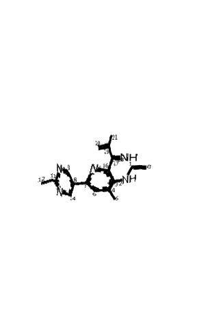 C=CNc1c(C)cc(-c2cnc(C)nc2)nc1C(=N)C(=C)C